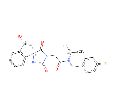 C[C@H](N(Cc1ccc(F)cc1)C(=O)CN1C(=O)N[C@]2(C[C@@H](O)c3ccccc32)C1=O)C(F)(F)F